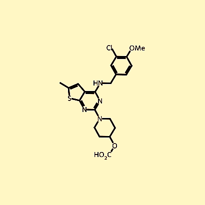 COc1ccc(CNc2nc(N3CCC(OC(=O)O)CC3)nc3sc(C)cc23)cc1Cl